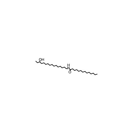 CCCCCCCCCCCCCC(=O)NCCCCCCCCCCCCCC(O)CC